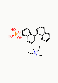 CC[N+](C)(CC)CC.O=P(O)(O)O.c1ccc2c(-c3cccc4ccccc34)cccc2c1